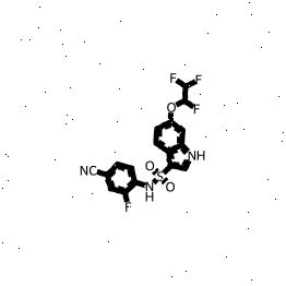 N#Cc1ccc(NS(=O)(=O)c2c[nH]c3cc(OC(F)C(F)F)ccc23)c(F)c1